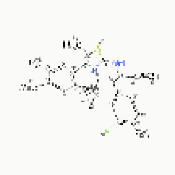 C#CC(Nc1nc(-c2cc(C)c(OC)cc2OC)c(C)s1)[C@@H](CC1CC1)c1ccc(C)c(F)c1